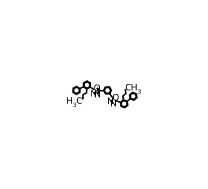 CCCCc1c(-c2ccccc2)cccc1-c1nnc(-c2cccc(-c3nnc(-c4cccc(-c5ccccc5)c4CCCC)o3)c2)o1